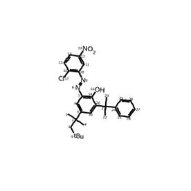 CC(C)(C)CC(C)(C)c1cc(/N=N/c2cc([N+](=O)[O-])ccc2Cl)c(O)c(C(C)(C)c2ccccc2)c1